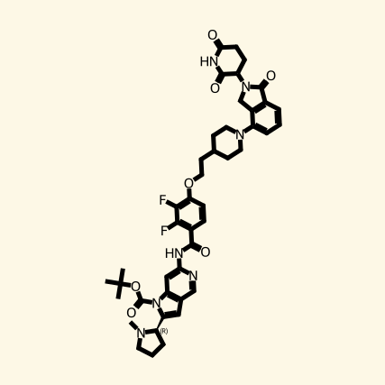 CN1CCC[C@@H]1c1cc2cnc(NC(=O)c3ccc(OCCC4CCN(c5cccc6c5CN(C5CCC(=O)NC5=O)C6=O)CC4)c(F)c3F)cc2n1C(=O)OC(C)(C)C